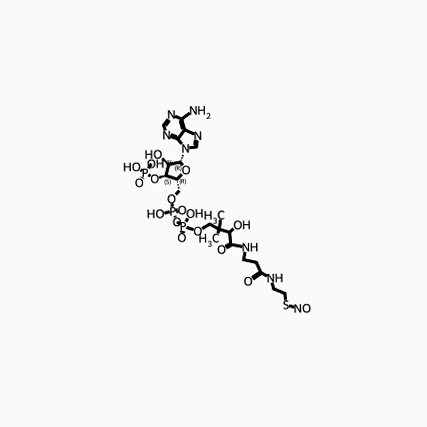 CC(C)(COP(=O)(O)OP(=O)(O)OC[C@H]1O[C@@H](n2cnc3c(N)ncnc32)[C@H](O)[C@@H]1OP(=O)(O)O)C(O)C(=O)NCCC(=O)NCCSN=O